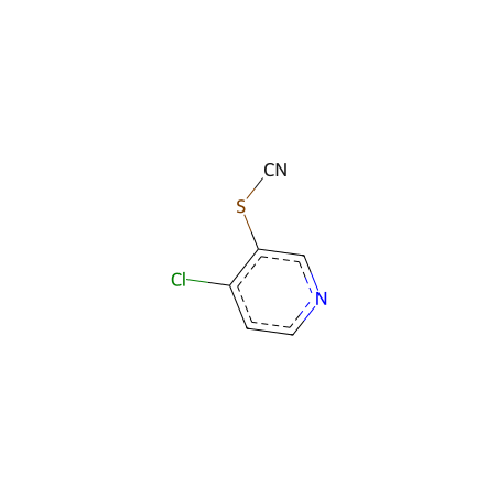 N#CSc1cnccc1Cl